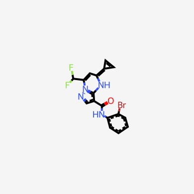 O=C(Nc1ccccc1Br)c1cnn2c1NC(=C1C=C1)C=C2C(F)F